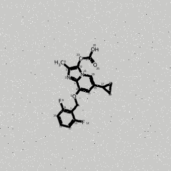 Cc1nc2c(OCc3c(F)cccc3F)cc(C3CC3)cn2c1OC(=O)O